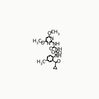 COc1cc(OC)nc(NC(=O)NS(=O)(=O)Nc2ccc(C)cc2C(=O)C2CC2)n1